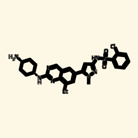 CCc1cc(-c2cc(NS(=O)(=O)c3ccccc3Cl)nn2C)cc2cnc(N[C@H]3CC[C@H](N)CC3)nc12